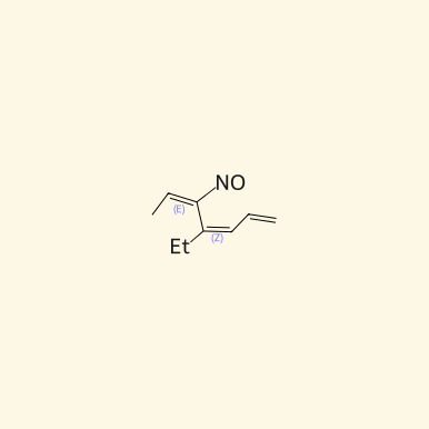 C=C/C=C(CC)\C(=C/C)N=O